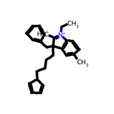 CC[N+]1=C(C)C(CCCCC2C=CC=C2)(Cc2ccccc2)c2cc(C)ccc21